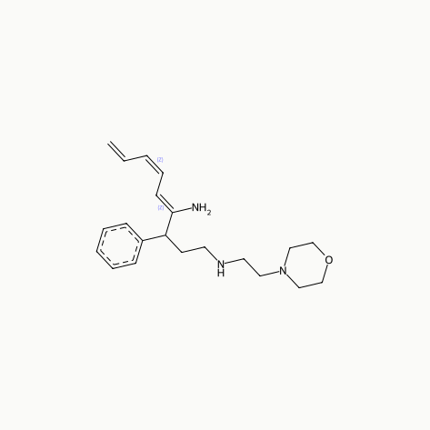 C=C/C=C\C=C(/N)C(CCNCCN1CCOCC1)c1ccccc1